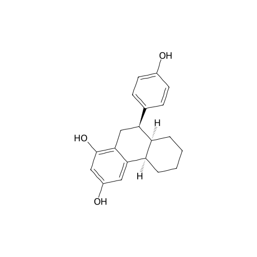 Oc1ccc([C@@H]2Cc3c(O)cc(O)cc3[C@@H]3CCCC[C@H]23)cc1